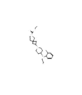 CCOC(=O)N1CCC2(CC(N3CCC(N(CCO)C4C=CC=CC4C)CC3)C2)C1